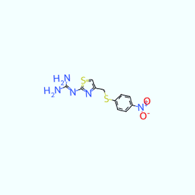 NC(N)=Nc1nc(CSc2ccc([N+](=O)[O-])cc2)cs1